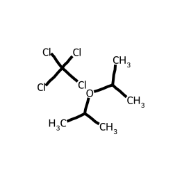 CC(C)OC(C)C.ClC(Cl)(Cl)Cl